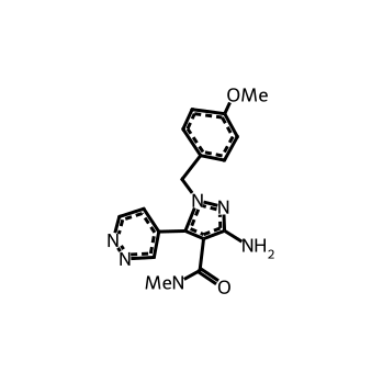 CNC(=O)c1c(N)nn(Cc2ccc(OC)cc2)c1-c1ccnnc1